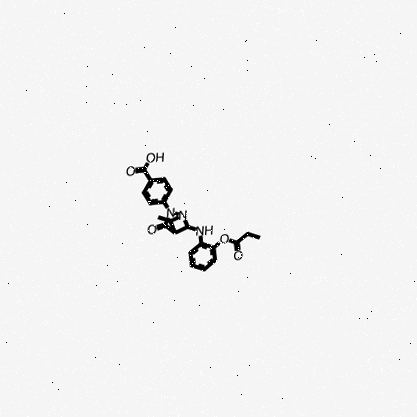 CCC(=O)Oc1ccccc1NC1C2C(=O)N(c3ccc(C(=O)O)cc3)N1C2C